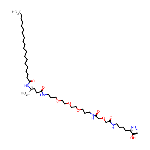 C=C(O)[C@@H](N)CCCCNC(=O)COCC(=O)NCCCOCCOCCOCCCNC(=O)CC[C@H](NC(=O)CCCCCCCCCCCCCCCCCCC(=O)O)C(=O)O